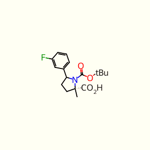 CC(C)(C)OC(=O)N1C(c2cccc(F)c2)CC[C@@]1(C)C(=O)O